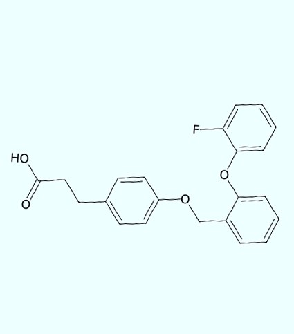 O=C(O)CCc1ccc(OCc2ccccc2Oc2ccccc2F)cc1